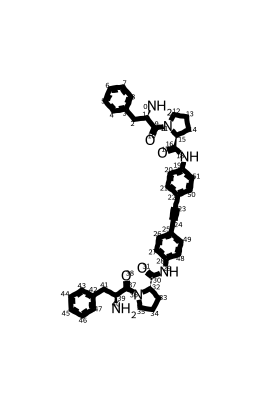 N[C@@H](Cc1ccccc1)C(=O)N1CCC[C@H]1C(=O)Nc1ccc(C#Cc2ccc(NC(=O)[C@@H]3CCCN3C(=O)[C@@H](N)Cc3ccccc3)cc2)cc1